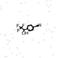 N#Cc1ccc(C(O)C(F)(F)F)cc1